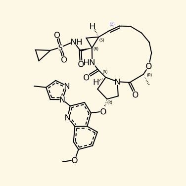 COc1ccc2c(O[C@@H]3C[C@H]4C(=O)N[C@]5(C(=O)NS(=O)(=O)C6CC6)C[C@H]5/C=C\CCCCO[C@H](C)C(=O)N4C3)cc(-n3cc(C)cn3)nc2c1